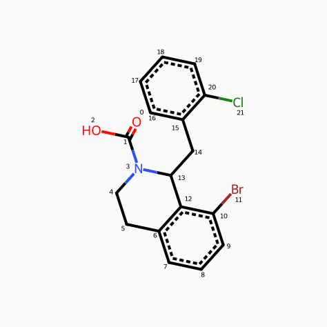 O=C(O)N1CCc2cccc(Br)c2C1Cc1ccccc1Cl